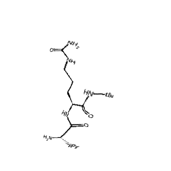 CC(C)[C@H](N)C(=O)N[C@@H](CCCNC(N)=O)C(=O)NC(C)(C)C